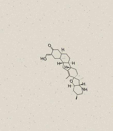 CC1=C2C[C@H]3[C@@H](CC[C@@H]4CC(=O)/C(=C/O)C[C@@]43C)[C@@H]2CC[C@]12O[C@@H]1C[C@H](C)CN[C@H]1[C@H]2C